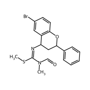 CS/C(=N/C1CC(c2ccccc2)Oc2ccc(Br)cc21)N(C)C=O